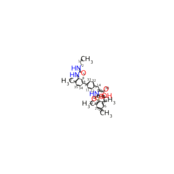 CCCNC(=O)Nc1cc(-c2ccc(C[C@H](NS(=O)(=O)c3c(C)cc(C)cc3C)C(=O)O)cc2)ccc1C